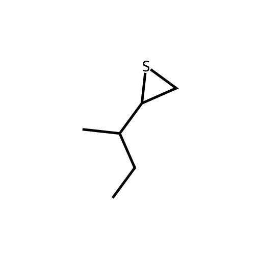 CCC(C)C1CS1